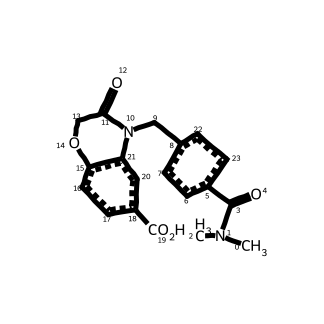 CN(C)C(=O)c1ccc(CN2C(=O)COc3ccc(C(=O)O)cc32)cc1